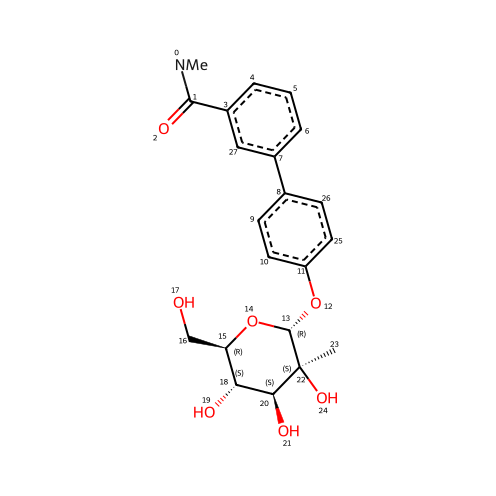 CNC(=O)c1cccc(-c2ccc(O[C@H]3O[C@H](CO)[C@@H](O)[C@H](O)[C@]3(C)O)cc2)c1